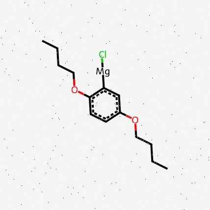 CCCCOc1ccc(OCCCC)[c]([Mg][Cl])c1